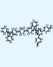 Fc1ccc(-c2cc(-c3ccc(F)cc3)nc(-n3c4ccccc4c4cc(-c5ccc(-c6ccc7c(c6)c6ccccc6n7-c6ccccc6)cc5)ccc43)n2)cc1